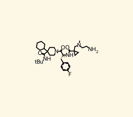 CN(CCN)CC1(C(=O)N[C@H](Cc2ccc(F)cc2)C(=O)N2CCC(C(=O)NC(C)(C)C)(C3CCCCC3)CC2)CC1